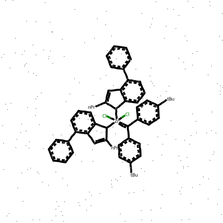 CCCC1=Cc2c(-c3ccccc3)cccc2[CH]1[Zr]([Cl])([Cl])(=[C](c1ccc(C(C)(C)C)cc1)c1ccc(C(C)(C)C)cc1)[CH]1C(CCC)=Cc2c(-c3ccccc3)cccc21